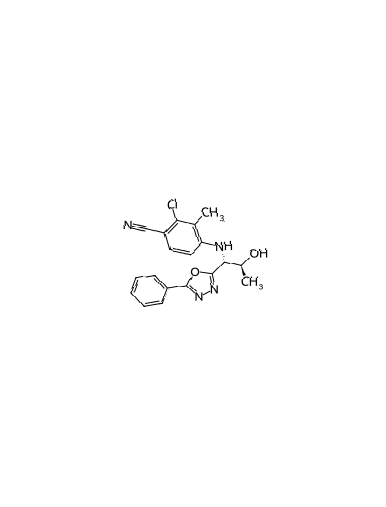 Cc1c(N[C@@H](c2nnc(-c3ccccc3)o2)[C@H](C)O)ccc(C#N)c1Cl